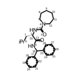 CC(C)C[C@H](NC(=O)N1CCCCCC1)C(=O)NC(c1ccccc1)c1ccccc1